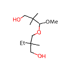 CCC(C)(CO)COC(OC)C(C)(C)CO